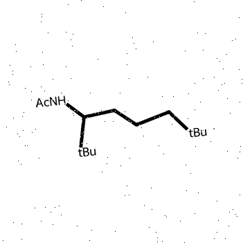 CC(=O)NC(CCCC(C)(C)C)C(C)(C)C